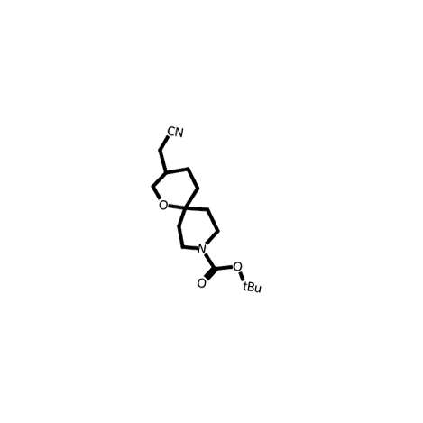 CC(C)(C)OC(=O)N1CCC2(CCC(CC#N)CO2)CC1